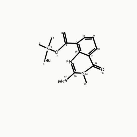 C=C(O[Si](C)(C)C(C)(C)C)c1cccc2c(=O)n(C)c(SC)nc12